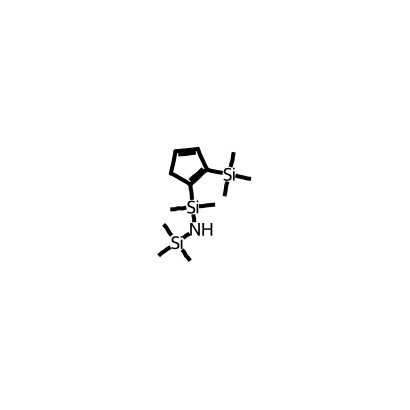 C[Si](C)(C)N[Si](C)(C)C1=C([Si](C)(C)C)C=CC1